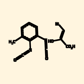 CC/C=C(\O)C(=O)O.Cc1cccc(N=C=O)c1N=C=O